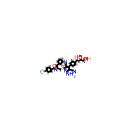 N#Cc1c(N)nc(SCc2nc(-c3ccc(Cl)cc3)oc2-c2ccccc2)c(C#N)c1-c1ccc(CC[C@@H](O)CO)cc1